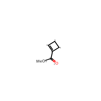 [CH2]OC(=O)C1=CCC1